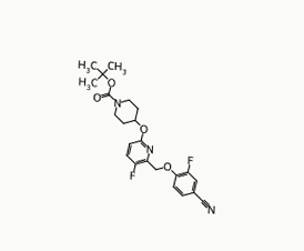 CC(C)(C)OC(=O)N1CCC(Oc2ccc(F)c(COc3ccc(C#N)cc3F)n2)CC1